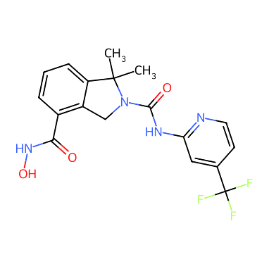 CC1(C)c2cccc(C(=O)NO)c2CN1C(=O)Nc1cc(C(F)(F)F)ccn1